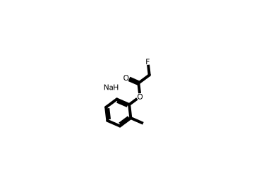 Cc1ccccc1OC(=O)CF.[NaH]